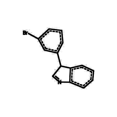 Brc1cccc(C2C=Nc3ccccc32)c1